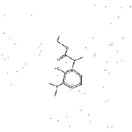 CCOC(=O)C(C)c1cccc(C(C)C)c1O